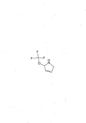 FC(F)(F)OC1C=C[CH]N1